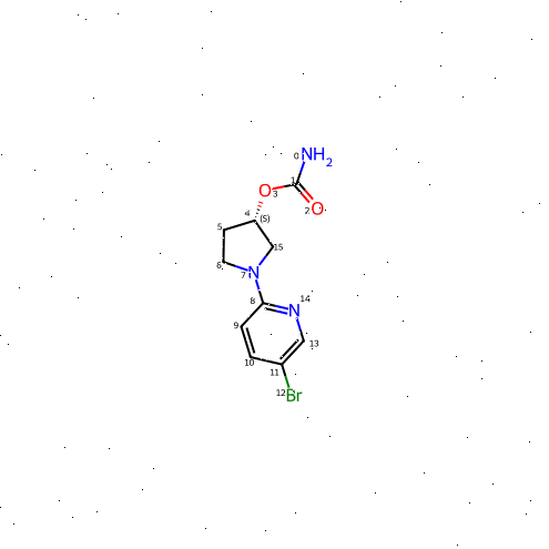 NC(=O)O[C@H]1CCN(c2ccc(Br)cn2)C1